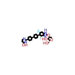 OC[C@H]1OC[C@@H](Oc2nc3c(F)c(-c4ccc(-c5ccc(-c6nccc(O)n6)cc5)cc4)c(F)cc3[nH]2)[C@@H]1O